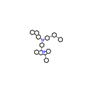 c1ccc(-c2cccc(-c3ccc(N(c4ccc(-c5c6ccccc6cc6c(-c7ccccc7)c7ccccc7n56)cc4)c4ccc5c(ccc6ccccc65)c4)cc3)c2)cc1